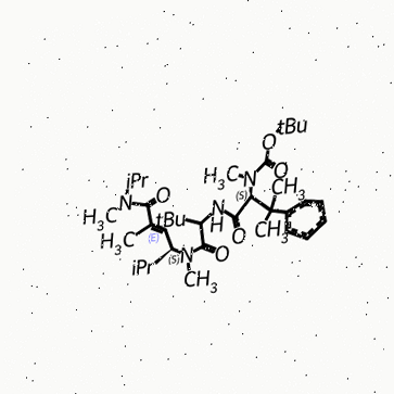 C/C(=C\[C@H](C(C)C)N(C)C(=O)C(NC(=O)[C@@H](N(C)C(=O)OC(C)(C)C)C(C)(C)c1ccccc1)C(C)(C)C)C(=O)N(C)C(C)C